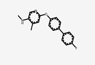 CNc1cnc(Oc2ccc(-c3ccc(F)cc3)cc2)cc1C